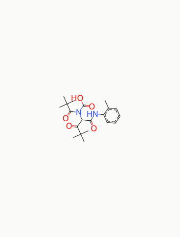 Cc1ccccc1NC(=O)C(C(=O)C(C)(C)C)N(C(=O)O)C(=O)C(C)(C)C